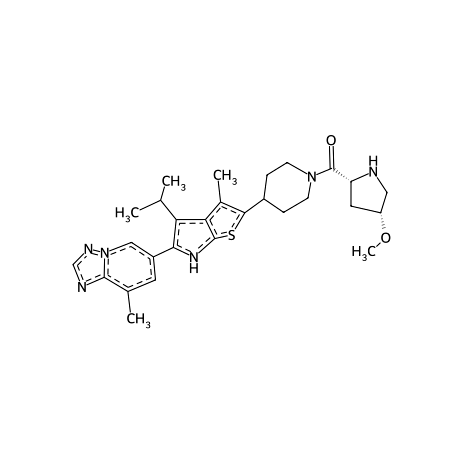 CO[C@H]1CN[C@@H](C(=O)N2CCC(c3sc4[nH]c(-c5cc(C)c6ncnn6c5)c(C(C)C)c4c3C)CC2)C1